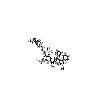 Cc1cc(Nc2nc(N3OCC[C@H]3c3ccccc3)c3cc[nH]c3n2)cc(C)c1OCCCN1CCN(C)CC1